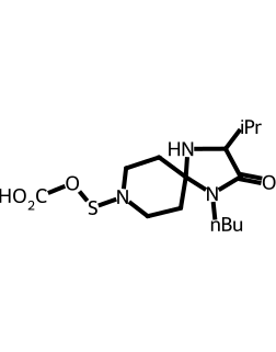 CCCCN1C(=O)C(C(C)C)NC12CCN(SOC(=O)O)CC2